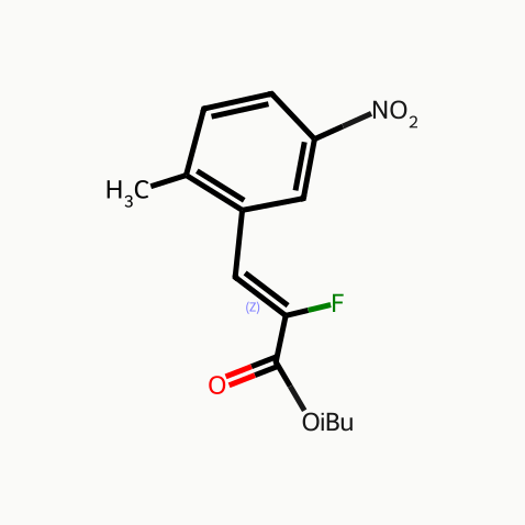 Cc1ccc([N+](=O)[O-])cc1/C=C(\F)C(=O)OCC(C)C